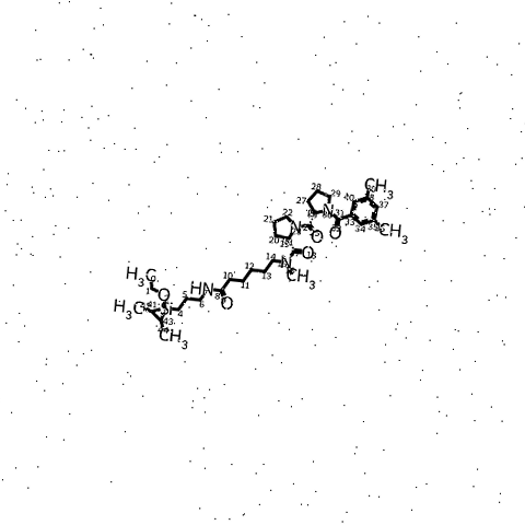 CCO[Si]1(CCCNC(=O)CCCCCN(C)C(=O)[C@@H]2CCCN2C(=O)[C@@H]2CCCN2C(=O)c2cc(C)cc(C)c2)C(C)C1C